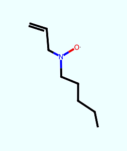 C=CCN([O])CCCCC